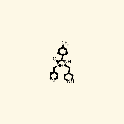 O=C(NCc1ccncc1)C(NCCC1CCNCC1)c1ccc(C(F)(F)F)cc1